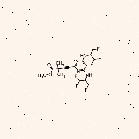 COC(=O)C(C)(C)C#Cc1nc(NC(CF)C(F)F)nc(NC(CF)C(F)F)n1